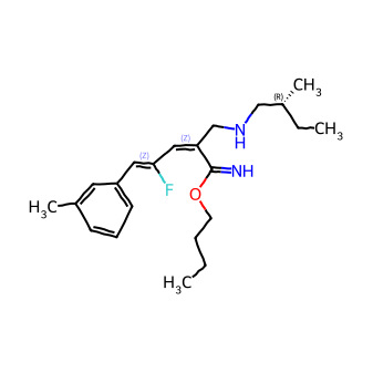 CCCCOC(=N)/C(=C\C(F)=C\c1cccc(C)c1)CNC[C@H](C)CC